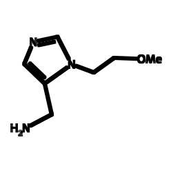 COCCn1cncc1CN